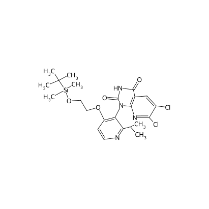 CC(C)c1nccc(OCCO[Si](C)(C)C(C)(C)C)c1-n1c(=O)[nH]c(=O)c2cc(Cl)c(Cl)nc21